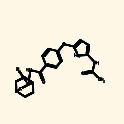 CC(=O)Nc1ccc(Oc2ccc(C(=O)N[C@H]3CN4CCC3CC4)cc2)[nH]1